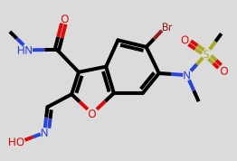 CNC(=O)c1c(C=NO)oc2cc(N(C)S(C)(=O)=O)c(Br)cc12